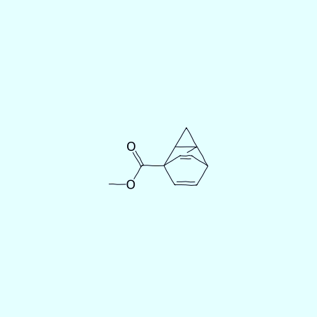 COC(=O)C12C=CC(C=C1)C1(C)CC21